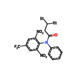 CCC(CC)CC(=O)N(c1ccccc1)c1c([N+](=O)[O-])cc(C(F)(F)F)cc1[N+](=O)[O-]